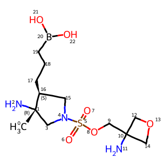 C[C@]1(N)CN(S(=O)(=O)OCC2(N)COC2)C[C@@H]1CCCB(O)O